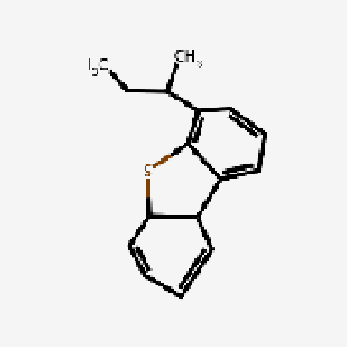 CCC(C)c1cccc2c1SC1C=CC=CC21